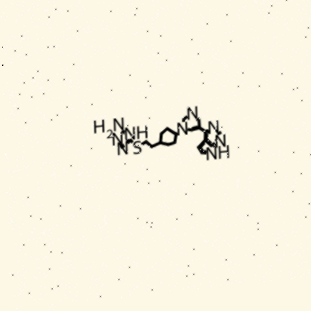 Nc1nnc(SCCC2CCC(N3C=C(c4ncnc5[nH]ccc45)C=NC3)CC2)[nH]1